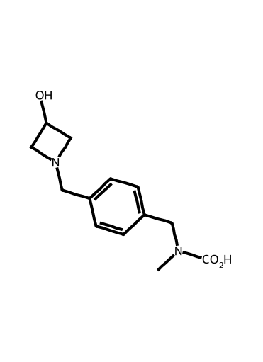 CN(Cc1ccc(CN2CC(O)C2)cc1)C(=O)O